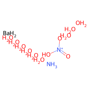 N.O.O.O.O.O.O.O.O.O.O=[N+]([O-])O.[BaH2]